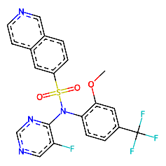 COc1cc(C(F)(F)F)ccc1N(c1ncncc1F)S(=O)(=O)c1ccc2cnccc2c1